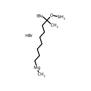 Br.[CH3][Mg][CH2]CCCCCCC(C)(O[SiH3])C(C)(C)C